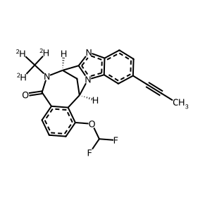 [2H]C([2H])([2H])N1C(=O)c2cccc(OC(F)F)c2[C@H]2C[C@@H]1c1nc3ccc(C#CC)cc3n12